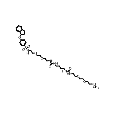 CNCCOCCOCCNC(=O)NCCCCNC(=O)NCCOCCOCCNS(=O)(=O)c1ccc(O[C@@H]2CCc3ccccc32)cc1